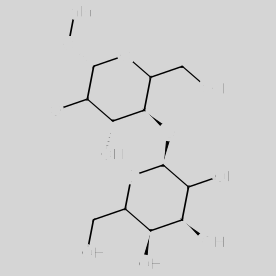 CCCO[C@@H]1OC(CO)[C@@H](O[C@@H]2OC(CO)[C@H](O)[C@H](O)C2O)[C@H](O)C1O